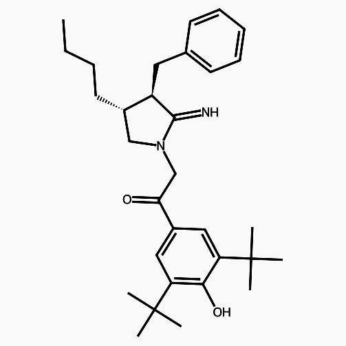 CCCC[C@H]1CN(CC(=O)c2cc(C(C)(C)C)c(O)c(C(C)(C)C)c2)C(=N)[C@@H]1Cc1ccccc1